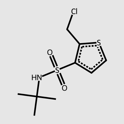 CC(C)(C)NS(=O)(=O)c1ccsc1CCl